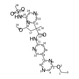 CCOc1cncc(-c2ccc(NC(=O)C(C)(CCOC)c3cncc(NS(C)(=O)=O)n3)nc2)n1